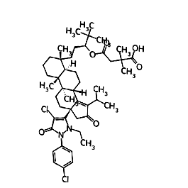 CCn1c([C@@]23CC[C@]4(C)[C@H](CC[C@@H]5[C@@](C)(CC[C@H](OC(=O)CC(C)(C)C(=O)O)C(C)(C)C)CCC[C@]54C)C2=C(C(C)C)C(=O)C3)c(Cl)c(=O)n1-c1ccc(Cl)cc1